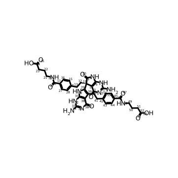 Nc1nc(=O)c2c([nH]1)NC(=O)[C@@]2(CCc1ccc(C(=O)NCCCC(=O)O)cc1)c1[nH]c2[nH]c(N)nc(=O)c2c1CCc1ccc(C(=O)NCCCC(=O)O)cc1